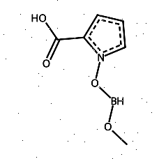 COBOn1cccc1C(=O)O